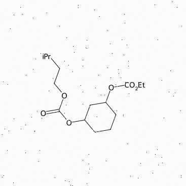 CCOC(=O)OC1CCCC(OC(=O)OCCC(C)C)C1